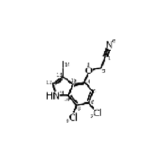 N#CCOc1cc(Cl)c(Cl)c2[nH]cc(I)c12